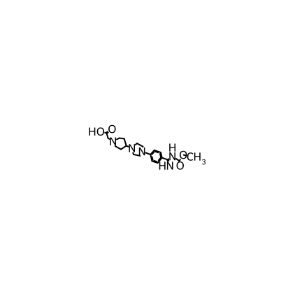 COC(=O)NC(=N)c1ccc(N2CCN(C3CCN(CC(=O)O)CC3)CC2)cc1